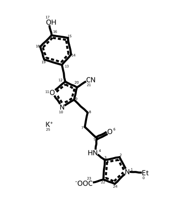 CCn1cc(NC(=O)CCc2noc(-c3ccc(O)cc3)c2C#N)c(C(=O)[O-])c1.[K+]